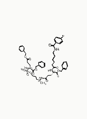 C[C@H](CCCOP(=O)(O)N[C@@H](CCC(=O)OCc1ccccc1)C(=O)OCc1ccccc1)NC(=O)CC[C@H](NC(=O)CCCCCNC(=O)c1ccc(F)cc1)C(=O)OCc1ccccc1